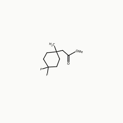 COC(=O)CC1(C)CCC(F)(F)CC1